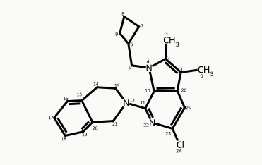 Cc1c(C)n(CC2CCC2)c2c(N3CCc4ccccc4C3)nc(Cl)cc12